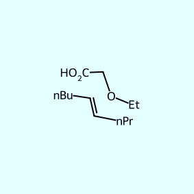 CCCC=CCCCC.CCOCC(=O)O